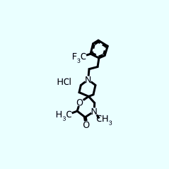 CC1OC2(CCN(CCc3ccccc3C(F)(F)F)CC2)CN(C)C1=O.Cl